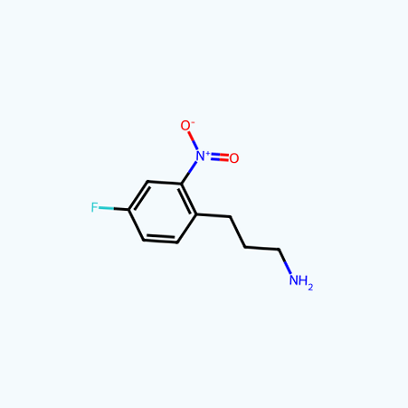 NCCCc1ccc(F)cc1[N+](=O)[O-]